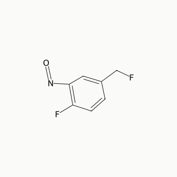 O=Nc1cc(CF)ccc1F